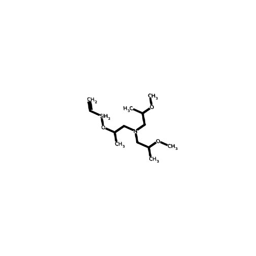 C=C[SiH2]OC(C)CN(CC(C)OC)CC(C)OC